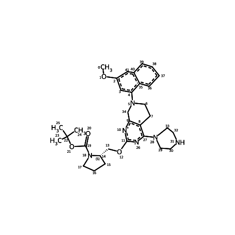 COc1cc(N2CCc3c(nc(OC[C@@H]4CCCN4C(=O)OC(C)(C)C)nc3N3CCNCC3)C2)c2ccccc2c1